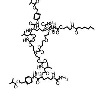 CCCCCCC(=O)NCCCOC(=O)NS(=O)(=O)NCCOCCOC(=O)N(CCOC(=O)N[C@H](C(=O)NC(CCCNC(N)=O)C(=O)Nc1ccc(COC(=O)C(C)C)cc1)C(C)C)CCOC(=O)N[C@H](C(=O)NC(CCCNC(N)=O)C(=O)Nc1ccc(COC(=O)C(C)C)cc1)C(C)C